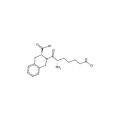 CC(C)C(=O)[C@@H]1Cc2ccccc2CN1C(=O)[C@@H](N)CCCCNCl